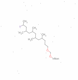 CCCCCCCCCOCOCCCC(C)CC(C)CC(C)CC(C)CC(C)I